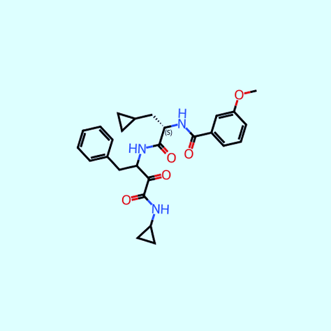 COc1cccc(C(=O)N[C@@H](CC2CC2)C(=O)NC(Cc2ccccc2)C(=O)C(=O)NC2CC2)c1